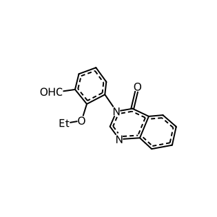 CCOc1c(C=O)cccc1-n1cnc2ccccc2c1=O